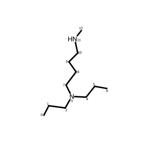 CCCN(CCC)CCCCNC